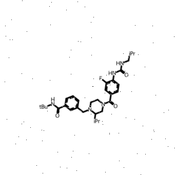 CC(C)CNC(=O)Nc1ccc(C(=O)N2CCN(Cc3cccc(C(=O)NC(C)(C)C)c3)C(C(C)C)C2)cc1F